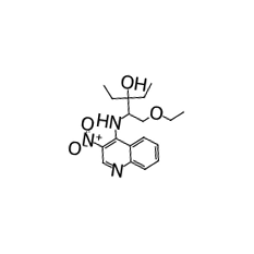 CCOCC(Nc1c([N+](=O)[O-])cnc2ccccc12)C(O)(CC)CC